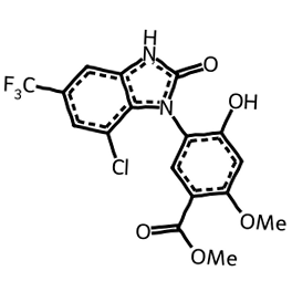 COC(=O)c1cc(-n2c(=O)[nH]c3cc(C(F)(F)F)cc(Cl)c32)c(O)cc1OC